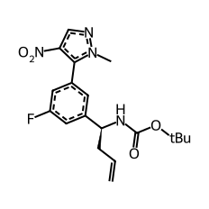 C=CC[C@H](NC(=O)OC(C)(C)C)c1cc(F)cc(-c2c([N+](=O)[O-])cnn2C)c1